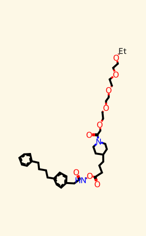 CCOCCOCCOCCOCCOCC(=O)N1CCC(CCCC(=O)ONC(=O)Cc2ccc(CCCCc3ccccc3)cc2)CC1